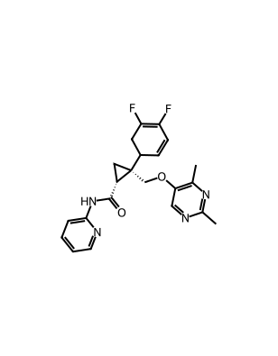 Cc1ncc(OC[C@@]2(C3C=CC(F)=C(F)C3)C[C@H]2C(=O)Nc2ccccn2)c(C)n1